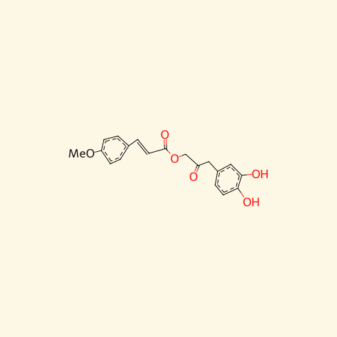 COc1ccc(/C=C/C(=O)OCC(=O)Cc2ccc(O)c(O)c2)cc1